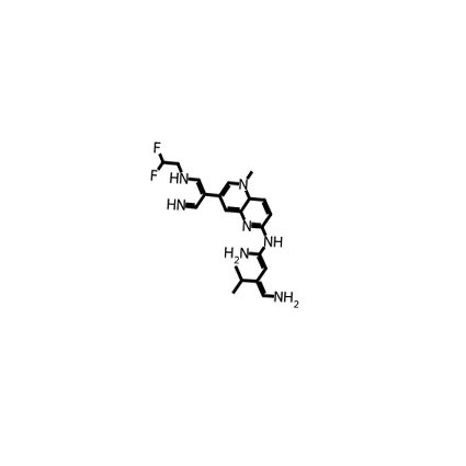 CC(C)C(=C/N)/C=C(\N)NC1=NC2=CC(/C(C=N)=C/NCC(F)F)=CN(C)C2C=C1